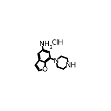 Cl.Nc1cc(N2CCNCC2)c2occc2c1